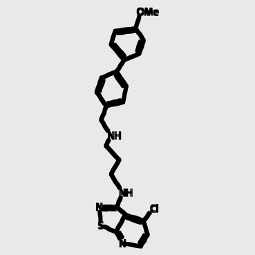 COc1ccc(-c2ccc(CNCCCNc3nsc4nccc(Cl)c34)cc2)cc1